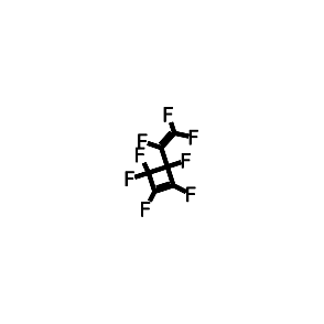 FC(F)=C(F)C1(F)C(F)=C(F)C1(F)F